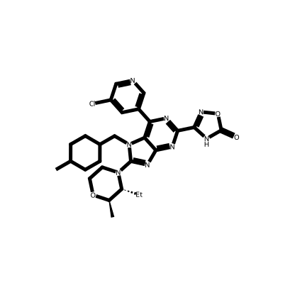 CC[C@@H]1[C@@H](C)OCCN1c1nc2nc(-c3noc(=O)[nH]3)nc(-c3cncc(Cl)c3)c2n1CC1CCC(C)CC1